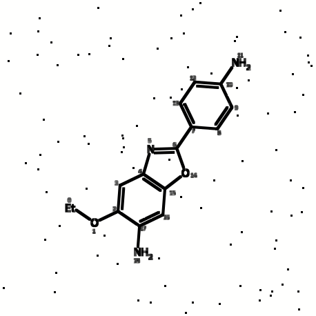 CCOc1cc2nc(-c3ccc(N)cc3)oc2cc1N